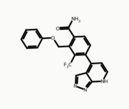 NC(=O)c1ccc(-c2cc[nH]c3nncc2-3)c(C(F)(F)F)c1COc1ccccc1